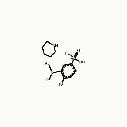 C1CCNCC1.CC(=O)N(c1cc([As](=O)(O)O)ccc1O)C(C)C